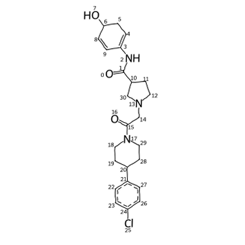 O=C(NC1=CCC(O)C=C1)C1CCN(CC(=O)N2CCC(c3ccc(Cl)cc3)CC2)C1